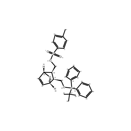 Cc1ccc(S(=O)(=O)OC[C@H]2[C@@H](CO[Si](c3ccccc3)(c3ccccc3)C(C)(C)C)[C@@H]3C=C[C@H]2O3)cc1